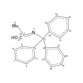 CC(C)(C)C(=NC(c1ccccc1)(c1ccccc1)c1ccccc1)C(=O)O